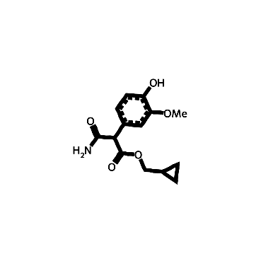 COc1cc(C(C(N)=O)C(=O)OCC2CC2)ccc1O